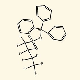 O=S(=O)(O[PH](c1ccccc1)(c1ccccc1)c1ccccc1)C(F)(F)C(F)(F)C(F)(F)C(F)(F)F